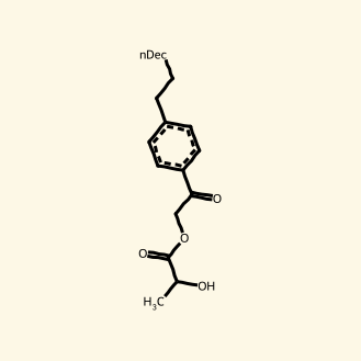 CCCCCCCCCCCCc1ccc(C(=O)COC(=O)C(C)O)cc1